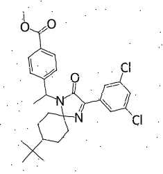 COC(=O)c1ccc(C(C)N2C(=O)C(c3cc(Cl)cc(Cl)c3)=NC23CCC(C(C)(C)C)CC3)cc1